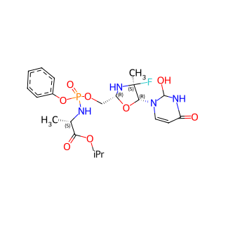 CC(C)OC(=O)[C@H](C)NP(=O)(OC[C@@H]1N[C@@](C)(F)[C@H](N2C=CC(=O)NC2O)O1)Oc1ccccc1